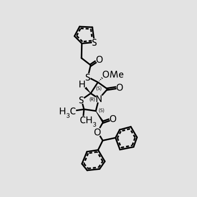 CO[C@]1(SC(=O)Cc2cccs2)C(=O)N2[C@@H](C(=O)OC(c3ccccc3)c3ccccc3)C(C)(C)S[C@@H]21